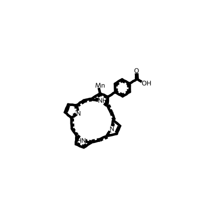 O=C(O)c1ccc(-c2[c]([Mn])c3cc4nc(cc5ccc(cc6nc(cc2[nH]3)C=C6)[nH]5)C=C4)cc1